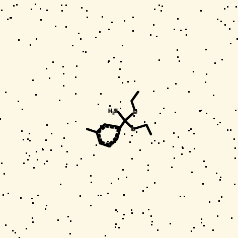 CCOC([SiH3])(OCC)c1cccc(C)c1